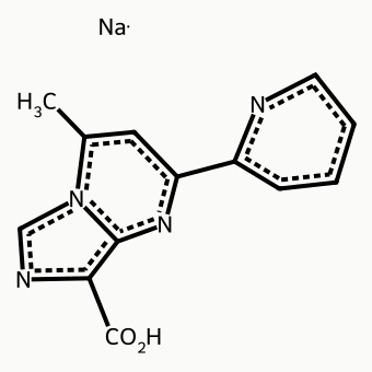 Cc1cc(-c2ccccn2)nc2c(C(=O)O)ncn12.[Na]